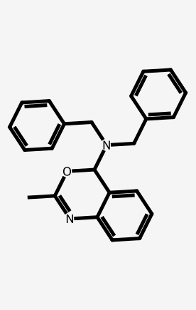 CC1=Nc2ccccc2C(N(Cc2ccccc2)Cc2ccccc2)O1